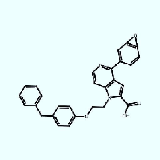 O=C(O)c1cc2c(-c3ccc4c(c3)O4)nccc2n1CCOc1ccc(Cc2ccccc2)cc1